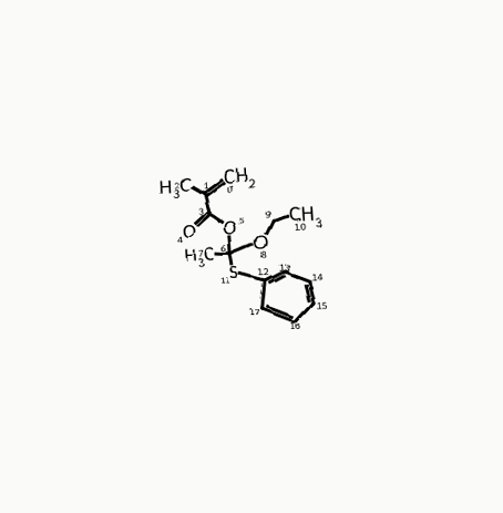 C=C(C)C(=O)OC(C)(OCC)Sc1ccccc1